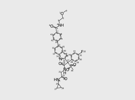 COCCNC(=O)c1ccc(-c2ccc3nc(C(C(=O)NCC(=O)NC4CC4)(c4ccc(F)cc4)S(C)(=O)=O)sc3c2)cc1